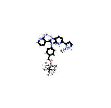 Cn1nccc1-c1ccc2nc(-c3cccnc3N)n(-c3ccc(CO[Si](C)(C)C(C)(C)C)cc3)c2n1